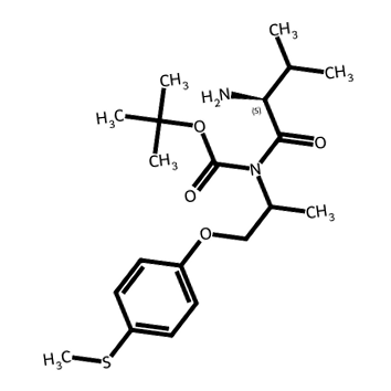 CSc1ccc(OCC(C)N(C(=O)OC(C)(C)C)C(=O)[C@@H](N)C(C)C)cc1